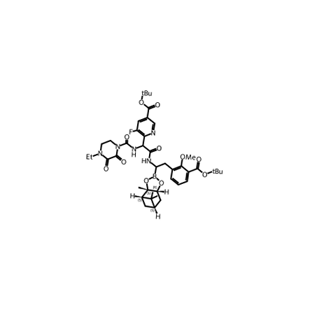 CCN1CCN(C(=O)NC(C(=O)NC(Cc2cccc(C(=O)OC(C)(C)C)c2OC)B2O[C@@H]3C[C@@H]4C[C@@H](C4(C)C)[C@]3(C)O2)c2ncc(C(=O)OC(C)(C)C)cc2F)C(=O)C1=O